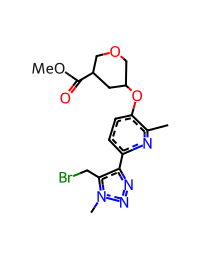 COC(=O)C1COCC(Oc2ccc(-c3nnn(C)c3CBr)nc2C)C1